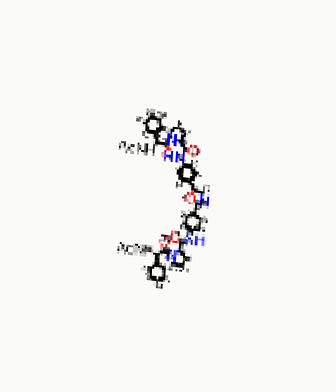 CC(=O)N[C@@H](C(=O)N1CCCC1C(=O)Nc1ccc(-c2cnc(-c3ccc(NC(=O)C4CCCN4C(=O)[C@H](NC(C)=O)c4ccccc4)cc3)o2)cc1)c1ccccc1